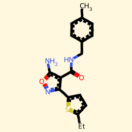 CCc1ccc(-c2noc(N)c2C(=O)NCc2ccc(C)cc2)s1